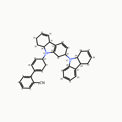 N#Cc1ccccc1C1=CCC(N2C3=C(C=CC(N4c5ccccc5C5CC=CCC54)C3)C3C=CCCC32)C=C1